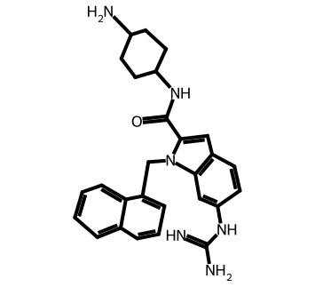 N=C(N)Nc1ccc2cc(C(=O)NC3CCC(N)CC3)n(Cc3cccc4ccccc34)c2c1